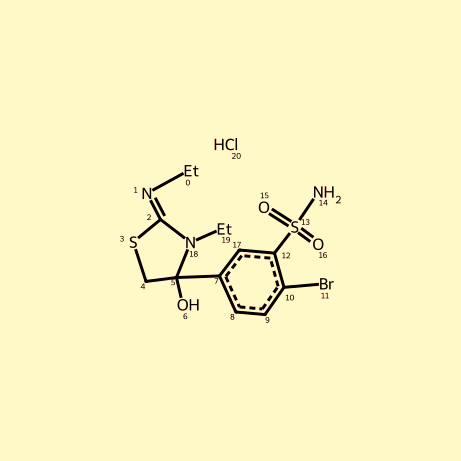 CCN=C1SCC(O)(c2ccc(Br)c(S(N)(=O)=O)c2)N1CC.Cl